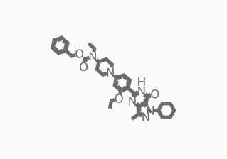 CCOc1cc(N2CCC(N(CC)C(=O)OCc3ccccc3)CC2)ccc1-c1nc2c(C)nn(C3CCCCC3)c2c(=O)[nH]1